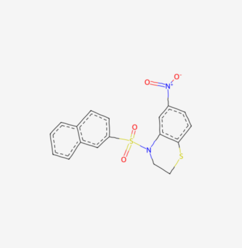 O=[N+]([O-])c1ccc2c(c1)N(S(=O)(=O)c1ccc3ccccc3c1)CCS2